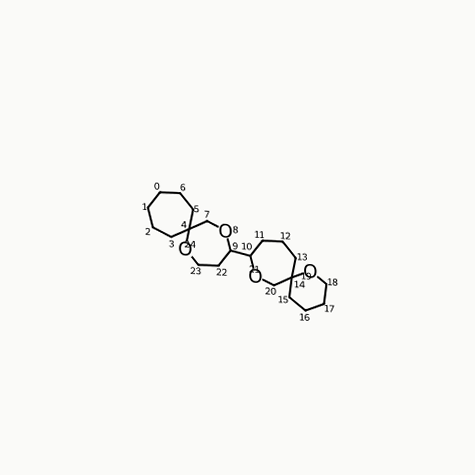 C1CCCC2(CC1)COC(C1CCCC3(CCCCO3)CO1)CCO2